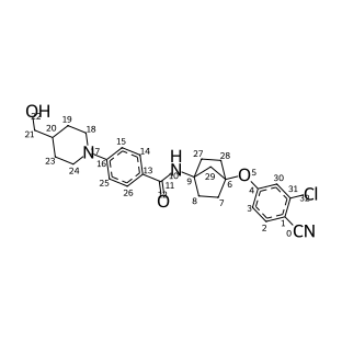 N#Cc1ccc(OC23CCC(NC(=O)c4ccc(N5CCC(CO)CC5)cc4)(CC2)C3)cc1Cl